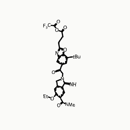 CCOc1cc2c(cc1C(=O)NC)C(=N)N(CC(=O)c1cc(C(C)(C)C)c3oc(CCC(=O)OC(=O)C(F)(F)F)nc3c1)C2